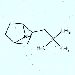 CC(C)(C)CC1CC2CCC1N2